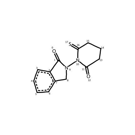 O=C1c2ccccc2CN1N1C(=O)CCCC1=S